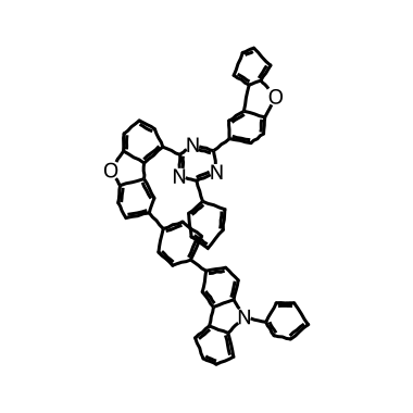 c1ccc(-c2nc(-c3ccc4oc5ccccc5c4c3)nc(-c3cccc4oc5ccc(-c6ccc(-c7ccc8c(c7)c7ccccc7n8-c7ccccc7)cc6)cc5c34)n2)cc1